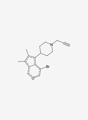 C#CCN1CCC(c2c(C)c(C)c3cocc(Br)c2-3)CC1